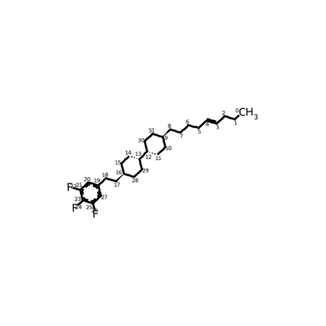 CCC/C=C/CCCC[C@H]1CC[C@H]([C@H]2CC[C@H](CCc3cc(F)c(F)c(F)c3)CC2)CC1